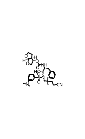 CN(C)c1cccc(S(=O)(=O)N(C[C@H](O)[C@H](Cc2ccccc2)NC(=O)O[C@H]2CO[C@H]3OCC[C@H]32)CC(C)(C)CCC#N)c1